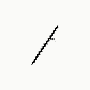 CCCCCC=CCC=CCCCCCCCCCCC(N)CCCCCCCCC